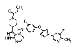 C=CC(=O)N1CCC(c2n[nH]c3ncnc(Nc4ccc(Oc5nc(-c6cnc(C)c(F)c6)cs5)cc4F)c23)CC1